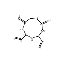 C=CC1OC(=O)CCC(=O)OC(C=C)O1